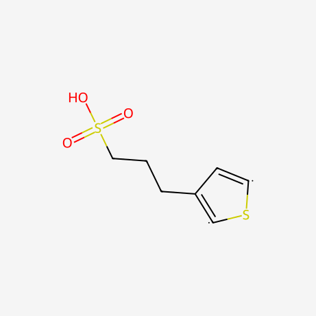 O=S(=O)(O)CCCc1[c]s[c]c1